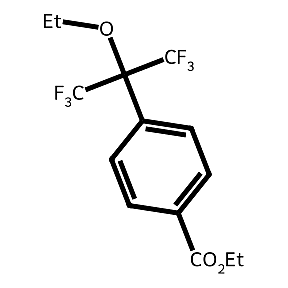 CCOC(=O)c1ccc(C(OCC)(C(F)(F)F)C(F)(F)F)cc1